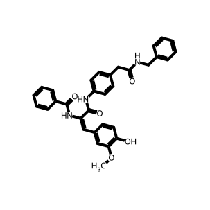 COc1cc(/C=C(/NC(=O)c2ccccc2)C(=O)Nc2ccc(CC(=O)NCc3ccccc3)cc2)ccc1O